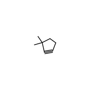 CC1(C)C#CCC1